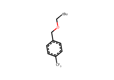 CC(C)(C)COCc1ccc(C(F)(F)F)cc1